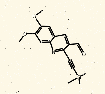 COc1cc2cc(C=O)c(C#C[Si](C)(C)C)nc2cc1OC